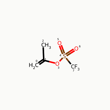 C=C(C)OS(=O)(=O)C(F)(F)F